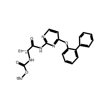 CC[C@@H](NC(=O)OC(C)(C)C)C(=O)Nc1nccc(Oc2ccccc2-c2ccccc2)n1